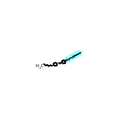 CCCCCCC[C@H]1CC[C@H](CCc2ccc(C(F)(F)C(F)(F)C(F)(F)C(F)(F)C(F)(F)C(F)(F)C(F)(F)C(F)(F)C(F)(F)F)cc2)CC1